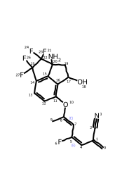 C=C(C#N)/C=C(F)\C=C(/C)Oc1ccc2c3c1C(O)CC3(N)C(F)(F)C2(F)F